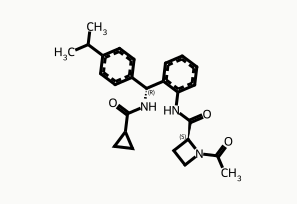 CC(=O)N1CC[C@H]1C(=O)Nc1ccccc1[C@H](NC(=O)C1CC1)c1ccc(C(C)C)cc1